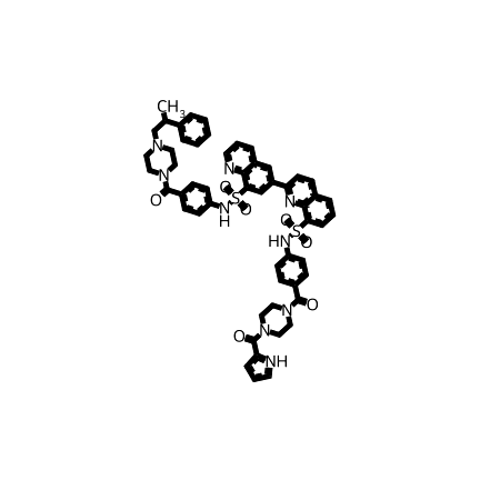 CC(CN1CCN(C(=O)c2ccc(NS(=O)(=O)c3cc(-c4ccc5cccc(S(=O)(=O)Nc6ccc(C(=O)N7CCN(C(=O)c8ccc[nH]8)CC7)cc6)c5n4)cc4cccnc34)cc2)CC1)c1ccccc1